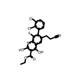 CCOC(=O)c1c(O)nc2c(F)c(-c3cccc(Cl)c3Cl)c(CCC#N)cc2c1O